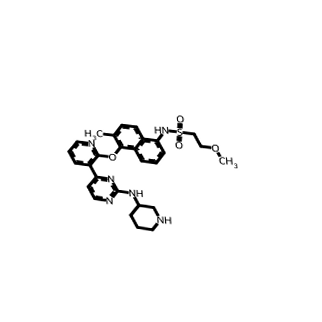 COCCS(=O)(=O)Nc1cccc2c(Oc3ncccc3-c3ccnc(NC4CCCNC4)n3)c(C)ccc12